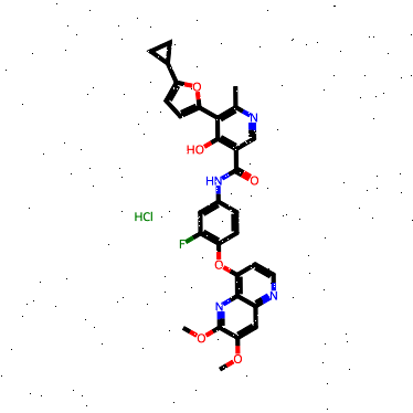 COc1cc2nccc(Oc3ccc(NC(=O)c4cnc(C)c(-c5ccc(C6CC6)o5)c4O)cc3F)c2nc1OC.Cl